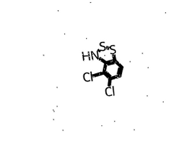 Clc1ccc2c(c1Cl)NSS2